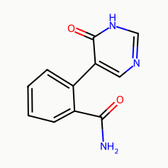 NC(=O)c1ccccc1-c1cnc[nH]c1=O